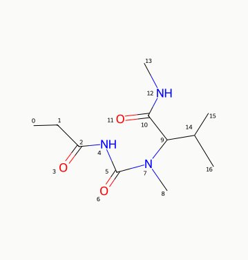 CCC(=O)NC(=O)N(C)C(C(=O)NC)C(C)C